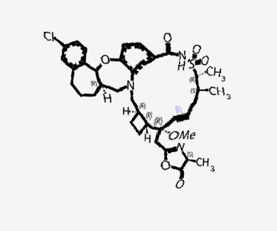 CO[C@@]1(CC2=N[C@@H](C)C(=O)O2)/C=C/C[C@H](C)[C@@H](C)S(=O)(=O)NC(=O)c2ccc3c(c2)N(C[C@H]2CCCc4cc(Cl)ccc4C2O3)C[C@@H]2CC[C@H]21